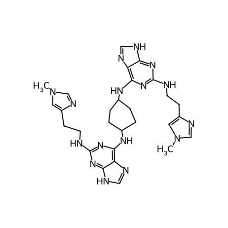 Cn1cnc(CCNc2nc(NC3CCC(Nc4nc(NCCc5cn(C)cn5)nc5[nH]cnc45)CC3)c3nc[nH]c3n2)c1